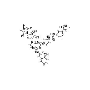 NS(=O)(=O)c1cccc(NC(=O)N[C@@H]2CCN(c3nc(N[C@H](CO)Cc4ccccc4)c4ncn([C@@H]5C[C@H](N6C(=O)CNC6=O)[C@@H](O)[C@H]5O)c4n3)C2)c1